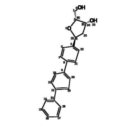 OC[C@H]1O[C@H](c2ccc(-c3ccc(-c4ccccc4)cc3)cc2)C[C@H]1O